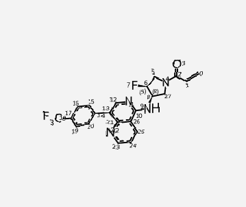 C=CC(=O)N1C[C@H](F)[C@H](Nc2ncc(-c3ccc(C(F)(F)F)cc3)c3ncccc23)C1